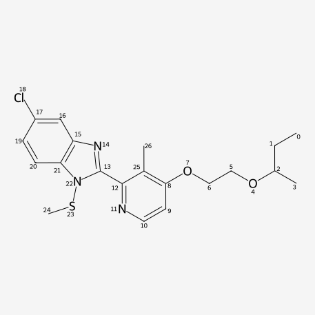 CCC(C)OCCOc1ccnc(-c2nc3cc(Cl)ccc3n2SC)c1C